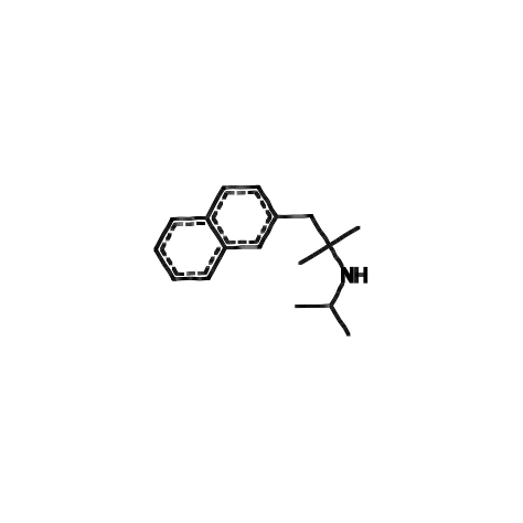 CC(C)NC(C)(C)Cc1ccc2ccccc2c1